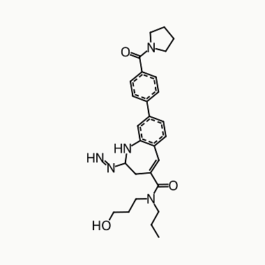 CCCN(CCCO)C(=O)C1=Cc2ccc(-c3ccc(C(=O)N4CCCC4)cc3)cc2NC(N=N)C1